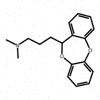 CN(C)CCCC1Oc2ccccc2Oc2ccccc21